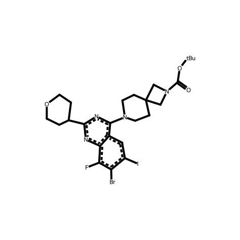 CC(C)(C)OC(=O)N1CC2(CCN(c3nc(C4CCOCC4)nc4c(F)c(Br)c(I)cc34)CC2)C1